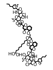 CCCC1CC(C(=O)NC(C(C)Cl)C2OC(SC)C(O)C(OC(=O)c3cc(=O)c4c(OCC(COc5cccc6oc(C(=O)OC7C(O)C(SC)OC(C(NC(=O)C8CC(CCC)CN8C)C(C)Cl)C7O)cc(=O)c56)OC(=O)CCCCCCCC(=O)O)cccc4o3)C2O)N(C)C1